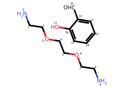 NCCOCCOCCN.O=Cc1ccccc1O